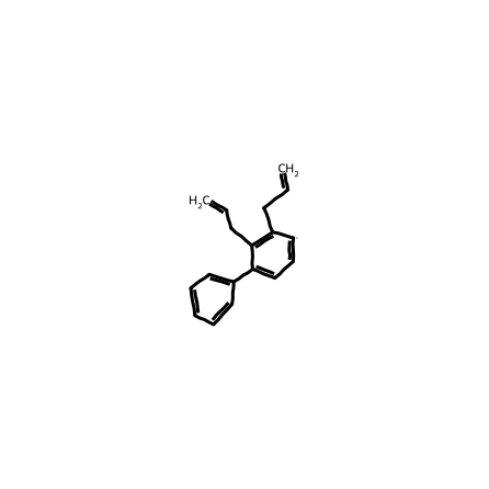 C=CCc1[c]ccc(-c2ccccc2)c1CC=C